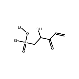 C=CC(=O)C(O)CP(=O)(CC)OCC